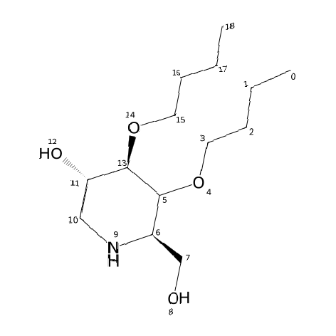 CCCCOC1[C@@H](CO)NC[C@H](O)[C@H]1OCCCC